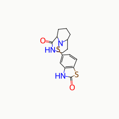 O=C1NCCC2CCCC1N2Sc1ccc2sc(=O)[nH]c2c1